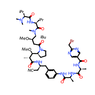 CC[C@H](C)[C@@H]([C@@H](CC(=O)N1CCC[C@H]1[C@H](OC)[C@@H](C)C(=O)N[C@H](CC#N)Cc1cccc(NC(=O)[C@H](C)NC(=O)[C@H](C)NC(=O)c2cnc(CBr)nc2)c1)OC)N(C)C(=O)[C@@H](NC(=O)[C@H](C(C)C)N(C)C)C(C)C